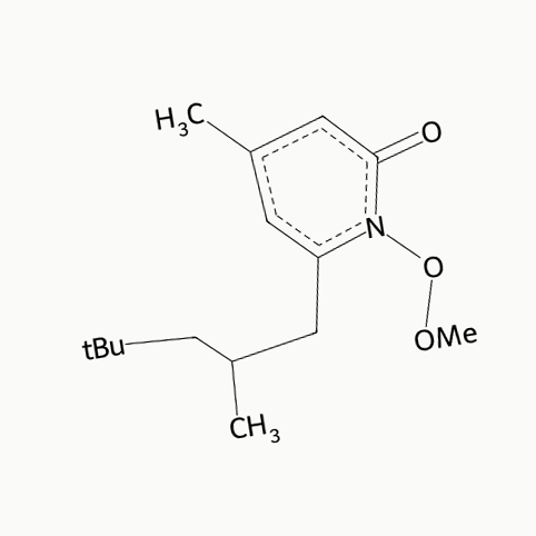 COOn1c(CC(C)CC(C)(C)C)cc(C)cc1=O